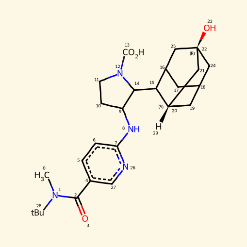 CN(C(=O)c1ccc(NC2CCN(C(=O)O)C2C2C3CC4C[C@H]2C[C@@](O)(C4)C3)nc1)C(C)(C)C